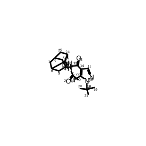 CC(=O)NC12CC3CC(C1)C(NC(=O)c1cnn(C(C)(C)C)c1Cl)C(C3)C2